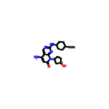 CC(=O)NC1CCC(Nc2ncc3c(N)cc(=O)n([C@@H]4CC[C@@H](O)C4)c3n2)CC1